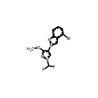 COc1nn(C(F)F)cc1-n1cc2c(Br)cccc2n1